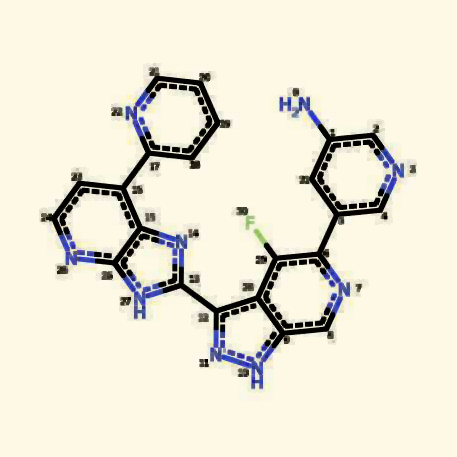 Nc1cncc(-c2ncc3[nH]nc(-c4nc5c(-c6ccccn6)ccnc5[nH]4)c3c2F)c1